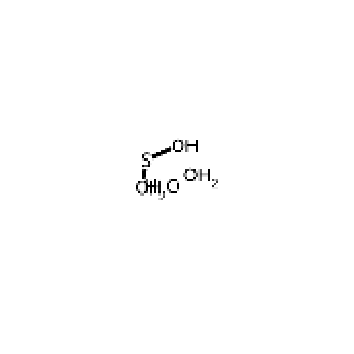 O.O.OSO